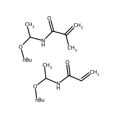 C=C(C)C(=O)NC(C)OCCCC.C=CC(=O)NC(C)OCCCC